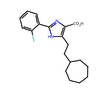 O=C(O)c1nc(-c2ccccc2F)[nH]c1CCC1CCCCCC1